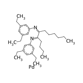 CCCCCCC(=Nc1cc(CC)cc(CC)c1)C(CCCC)=Nc1cc(CC)cc(CC)c1.[Pd]